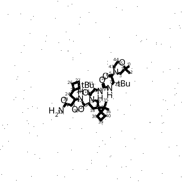 CC1(C)CN(C(=O)[C@@H](NC(=O)N[C@@H](C(=O)N2CC3(C[C@H]2C(=O)NC(CC2CCC2)C(=O)C(N)=O)C(C)(C)C32CCC2)C(C)(C)C)C(C)(C)C)CCO1